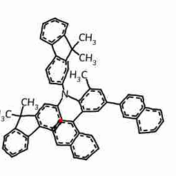 Cc1cc(-c2ccc3ccccc3c2)cc(-c2cccc3ccccc23)c1N(c1ccc2c(c1)C(C)(C)c1ccccc1-2)c1ccc2c(c1)C(C)(C)c1ccccc1-2